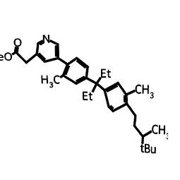 CCC(CC)(c1ccc(CCC(C)C(C)(C)C)c(C)c1)c1ccc(-c2cncc(CC(=O)OC)c2)c(C)c1